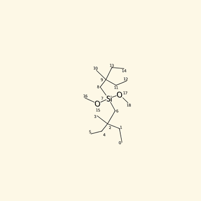 CCC(C)(CC)C[Si](CC(C)(CC)CC)(OC)OC